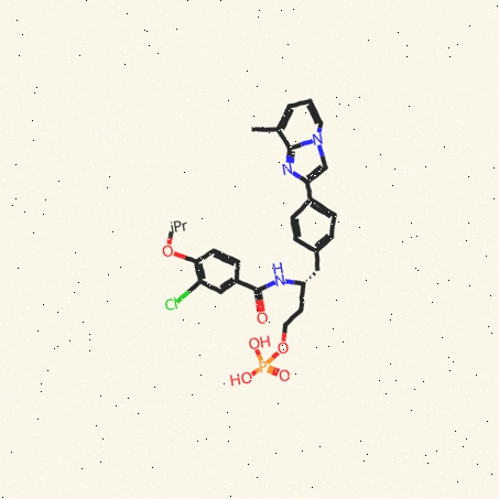 Cc1cccn2cc(-c3ccc(C[C@H](CCOP(=O)(O)O)NC(=O)c4ccc(OC(C)C)c(Cl)c4)cc3)nc12